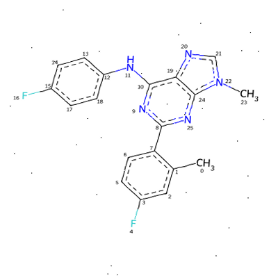 Cc1cc(F)ccc1-c1nc(Nc2ccc(F)cc2)c2ncn(C)c2n1